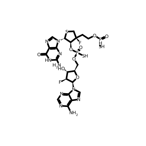 Nc1nc2c(ncn2[C@@H]2SC[C@](F)(CCO[PH](=O)S)[C@H]2OP(=O)(S)OC[C@H]2O[C@@H](n3cnc4c(N)ncnc43)[C@@H](F)[C@@H]2O)c(=O)[nH]1